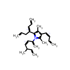 C=C/C=C\c1c(C)c(/C(=C\C=C)CC=C)n(C(=C)/C=C\C(C)C=C)c1C